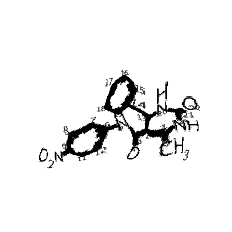 CC1=C(C(=O)Nc2ccc([N+](=O)[O-])cc2)C(c2ccccc2)NC(=O)N1